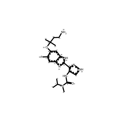 CC(C)N(C)C(=O)Nc1c[nH]nc1-c1nc2cc(F)c(OC(C)(C)CCN)cc2[nH]1